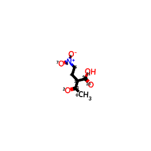 CC(=O)C(CC[N+](=O)[O-])C(=O)O